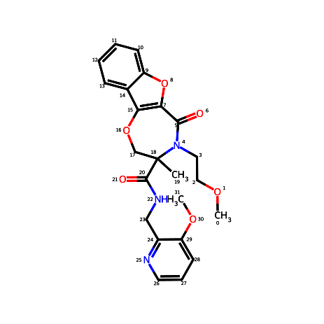 COCCN1C(=O)c2oc3ccccc3c2OCC1(C)C(=O)NCc1ncccc1OC